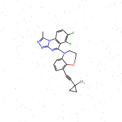 Cc1nnc2nc(N3CCCOc4c(C#CC5(C(F)(F)F)CC5)cccc43)c3c(F)c(F)ccc3n12